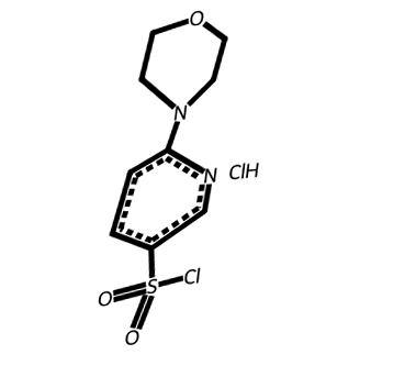 Cl.O=S(=O)(Cl)c1ccc(N2CCOCC2)nc1